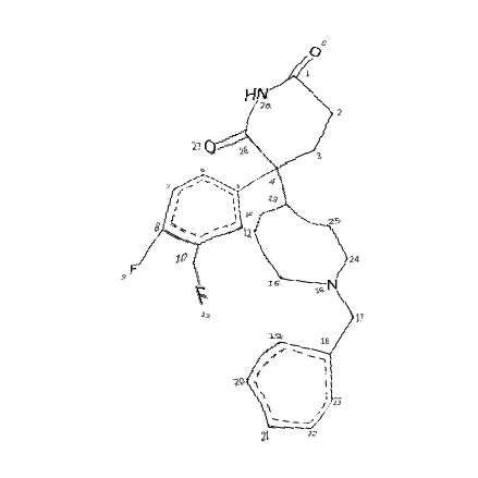 O=C1CCC(c2ccc(F)c(F)c2)(C2CCN(Cc3ccccc3)CC2)C(=O)N1